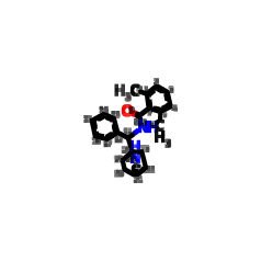 Cc1cccc(C)c1C(=O)NC(c1ccccc1)C12CCC(CC1)CN2